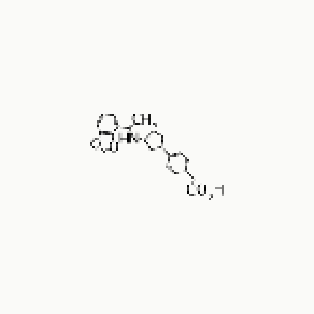 C[C@@H](N[C@H]1CC[C@@H](c2ccc(CC(=O)O)cc2)C1)c1cccc2c1OCO2